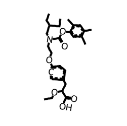 CCOC(Cc1ccc(OCCN(CC(CC)CC)C(=O)Oc2cc(C)c(C)cc2C)cc1)C(=O)O